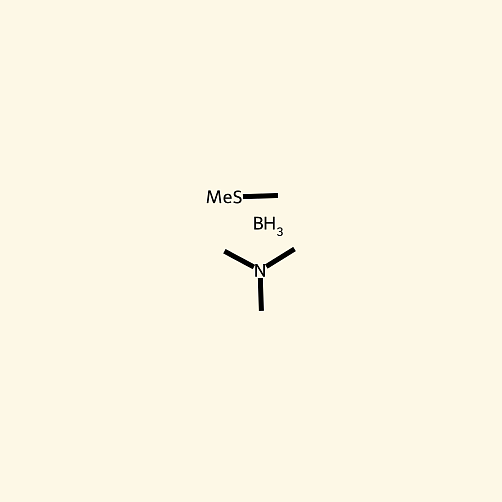 B.CN(C)C.CSC